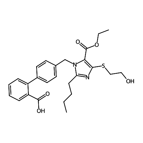 CCCCc1nc(SCCO)c(C(=O)OCC)n1Cc1ccc(-c2ccccc2C(=O)O)cc1